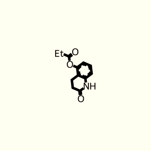 CCC(=O)Oc1cccc2c1CCC(=O)N2